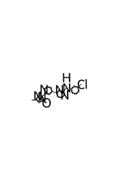 Cc1cc(=O)n(-c2cc(-c3ccnc(Nc4cccc(Cl)c4)n3)ccn2)n1C